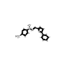 Cc1ccc([S@@+]([O-])/N=C/c2ccc(-c3ccccc3)s2)cc1